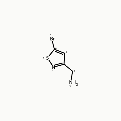 NCc1cc(Br)sn1